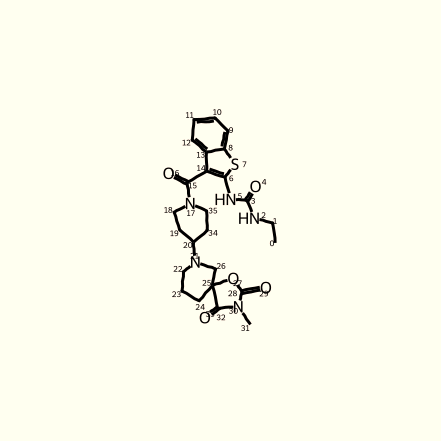 CCNC(=O)Nc1sc2ccccc2c1C(=O)N1CCC(N2CCCC3(C2)OC(=O)N(C)C3=O)CC1